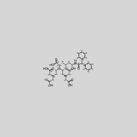 O=C(O)CN(CCN(CCN(CC(=O)O)CC(=O)O)[C@@H](CCCCNC(=O)C(c1ccccc1)c1ccccc1)C(=O)O)CC(=O)O